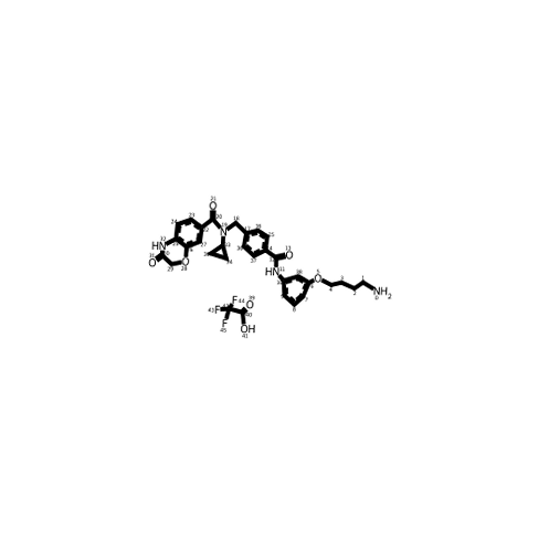 NCCCCOc1cccc(NC(=O)c2ccc(CN(C(=O)c3ccc4c(c3)OCC(=O)N4)C3CC3)cc2)c1.O=C(O)C(F)(F)F